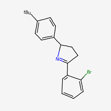 CC(C)(C)c1ccc(C2CCC(c3ccccc3Br)=N2)cc1